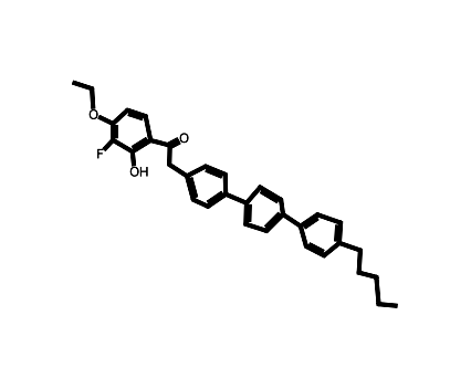 CCCCCc1ccc(-c2ccc(-c3ccc(CC(=O)c4ccc(OCC)c(F)c4O)cc3)cc2)cc1